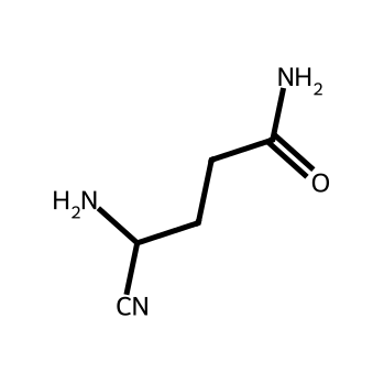 N#CC(N)CCC(N)=O